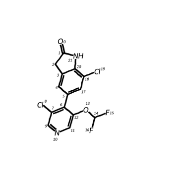 O=C1Cc2cc(-c3c(Cl)cncc3OC(F)F)cc(Cl)c2N1